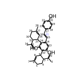 C=C(C)C1CCC(C)=CC1c1c(O)cc(/C=C/c2ccc(O)cc2)c(C2C=C(C)CCC2C(=C)C)c1O